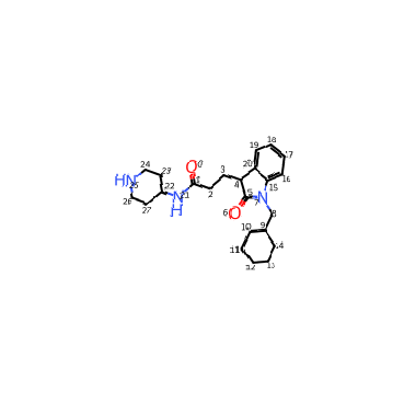 O=C(CCC1C(=O)N(CC2CCCCC2)c2ccccc21)NC1CCNCC1